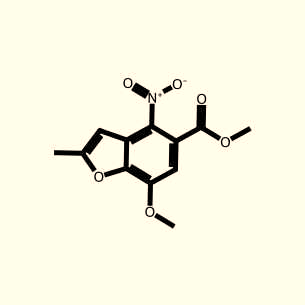 COC(=O)c1cc(OC)c2oc(C)cc2c1[N+](=O)[O-]